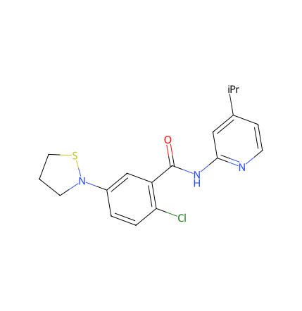 CC(C)c1ccnc(NC(=O)c2cc(N3CCCS3)ccc2Cl)c1